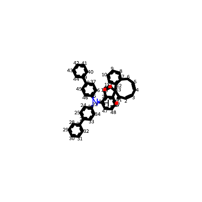 C=C1/C=C\C=C/Cc2ccccc2C12c1ccccc1-c1c(N(c3ccc(-c4ccccc4)cc3)c3ccc(-c4ccccc4)cc3)cccc12